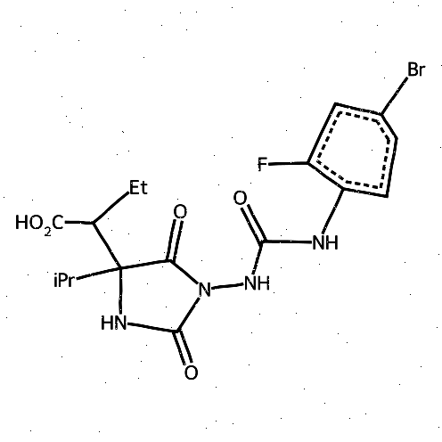 CCC(C(=O)O)C1(C(C)C)NC(=O)N(NC(=O)Nc2ccc(Br)cc2F)C1=O